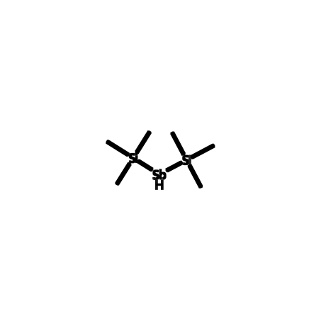 C[Si](C)(C)[SbH][Si](C)(C)C